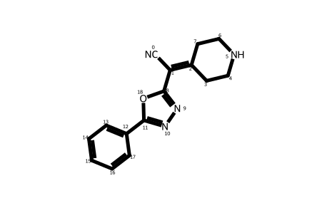 N#CC(=C1CCNCC1)c1nnc(-c2ccccc2)o1